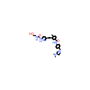 Cc1ccc(C(=O)Nc2ccc(CN3CC[C@H](N(C)C)C3)cc2)cc1C#Cc1ccc(NC(=O)NCCO)nc1